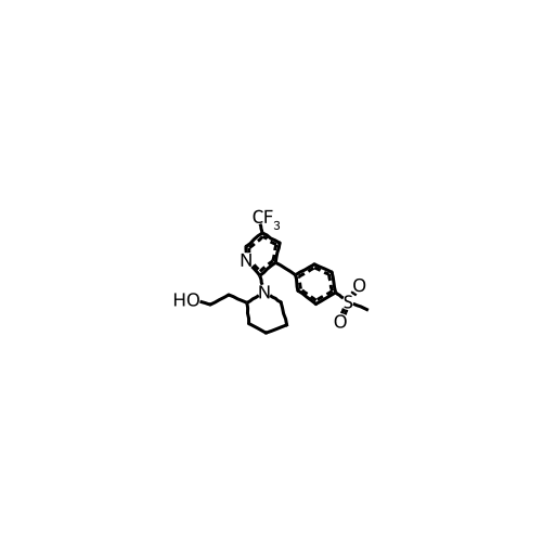 CS(=O)(=O)c1ccc(-c2cc(C(F)(F)F)cnc2N2CCCCC2CCO)cc1